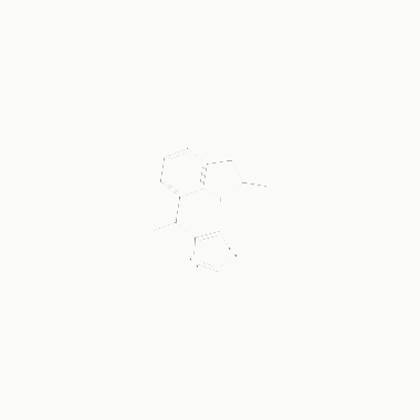 CC1Cc2cccc(C(C)c3c[nH]cn3)c2O1